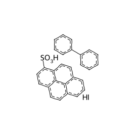 I.O=S(=O)(O)c1ccc2ccc3cccc4ccc1c2c34.c1ccc(-c2ccccc2)cc1